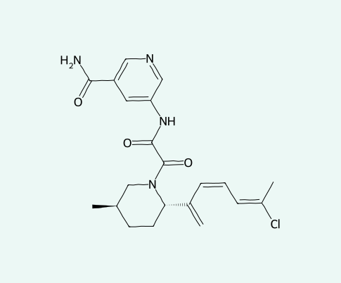 C=C(/C=C\C=C(/C)Cl)[C@@H]1CC[C@@H](C)CN1C(=O)C(=O)Nc1cncc(C(N)=O)c1